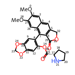 COc1cc2cc3c(c(-c4cc5c(cc4OC(=O)[C@@H]4CCCN4)OCO5)c2cc1OC)C(=O)OC3